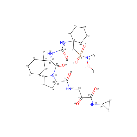 CON(C)S(=O)(=O)CC1(NC(=O)N[C@H](C(=O)N2CCC[C@H]2C(=O)NCC(=O)C(=O)NC2CC2)C2(C)CCCCC2)CCCCC1